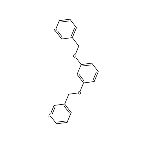 c1cncc(COc2cccc(OCc3cccnc3)c2)c1